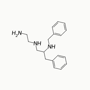 NCCNCC(Cc1ccccc1)NCc1ccccc1